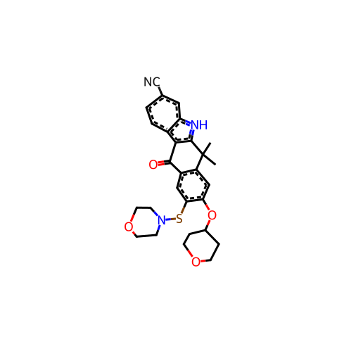 CC1(C)c2cc(OC3CCOCC3)c(SN3CCOCC3)cc2C(=O)c2c1[nH]c1cc(C#N)ccc21